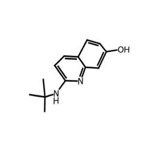 CC(C)(C)Nc1ccc2ccc(O)cc2n1